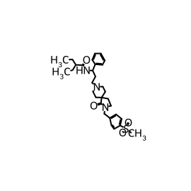 CCC(CC)C(=O)NC(CCN1CCC2(CC1)CCN(Cc1ccc(S(C)(=O)=O)cc1)C2=O)c1ccccc1